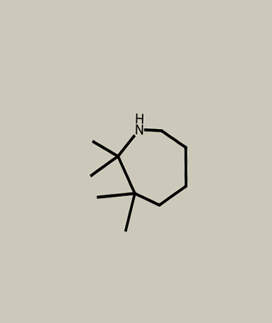 CC1(C)CCCCNC1(C)C